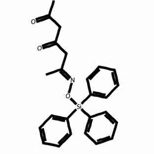 CC(=O)CC(=O)C/C(C)=N/O[Si](c1ccccc1)(c1ccccc1)c1ccccc1